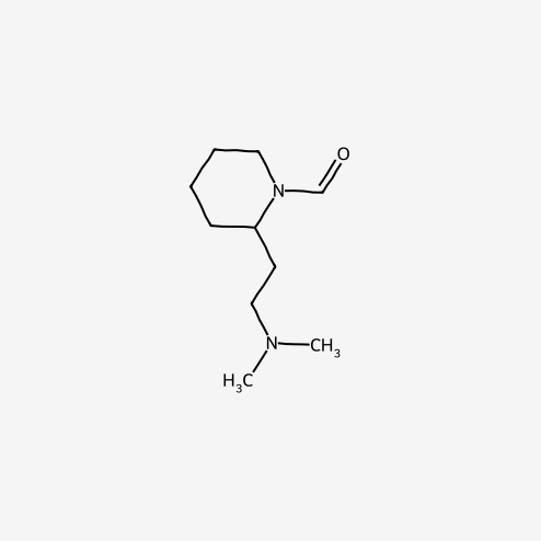 CN(C)CCC1CCCCN1C=O